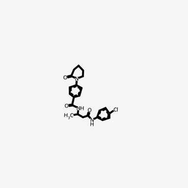 CC(CC(=O)Nc1ccc(Cl)cc1)NC(=O)c1ccc(N2CCCCC2=O)cc1